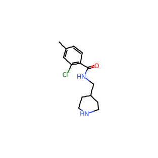 Cc1ccc(C(=O)NCC2CCNCC2)c(Cl)c1